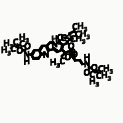 CCC1(OC(=O)CCCNC(=O)OC(C)(C)C)C(=O)OC([Si](C)(C)CC(C)C)c2c1cc1n(c2=O)Cc2cc3cc(NC(=O)OC(C)(C)C)ccc3nc2-1